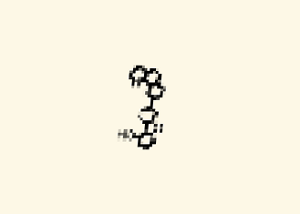 Oc1cccc2oc3cc(-c4ccc5ccc6cccnc6c5n4)cnc3c12